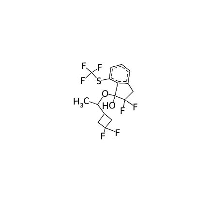 CC(OC1(O)c2c(cccc2SC(F)(F)F)CC1(F)F)C1CC(F)(F)C1